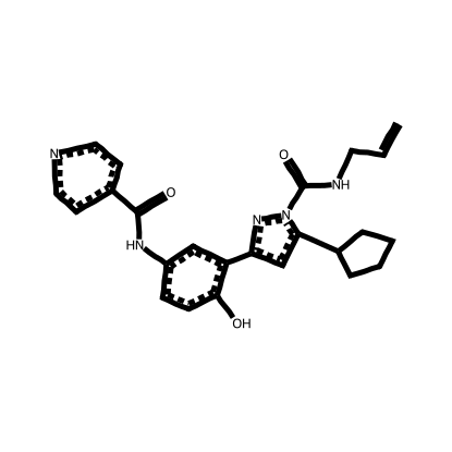 C=CCNC(=O)n1nc(-c2cc(NC(=O)c3ccncc3)ccc2O)cc1C1CCCC1